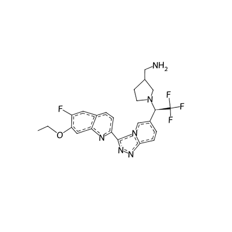 CCOc1cc2nc(-c3nnc4ccc([C@@H](N5CCC(CN)C5)C(F)(F)F)cn34)ccc2cc1F